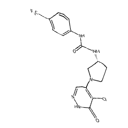 O=C(Nc1ccc(C(F)(F)F)cc1)N[C@@H]1CCN(c2cn[nH]c(=O)c2Cl)C1